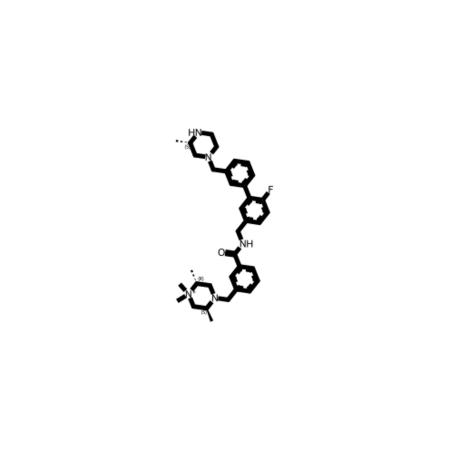 C[C@@H]1CN(Cc2cccc(C(=O)NCc3ccc(F)c(-c4cccc(CN5CCN[C@@H](C)C5)c4)c3)c2)[C@@H](C)C[N+]1(C)C